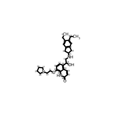 CCc1cc2c(cc1CC)CC(NCC(O)c1ccc(OCCN3CCCC3)c3[nH]c(=O)ccc13)C2